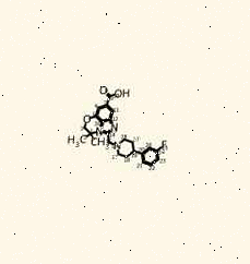 CC1(C)COc2cc(C(=O)O)cc3nc(CN4CCC(c5cccc(F)c5)CC4)n1c23